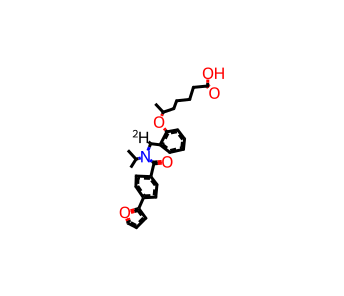 [2H]C(c1ccccc1OC(C)CCCCC(=O)O)N(C(=O)c1ccc(-c2ccco2)cc1)C(C)C